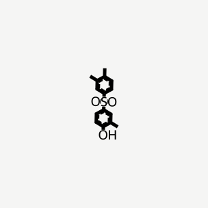 Cc1ccc(S(=O)(=O)c2ccc(O)c(C)c2)cc1C